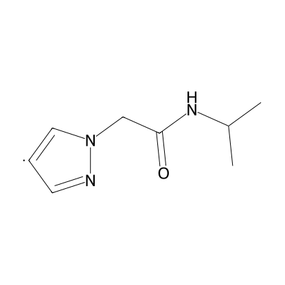 CC(C)NC(=O)Cn1c[c]cn1